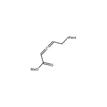 CCCCCCC=C=CC(=O)OC